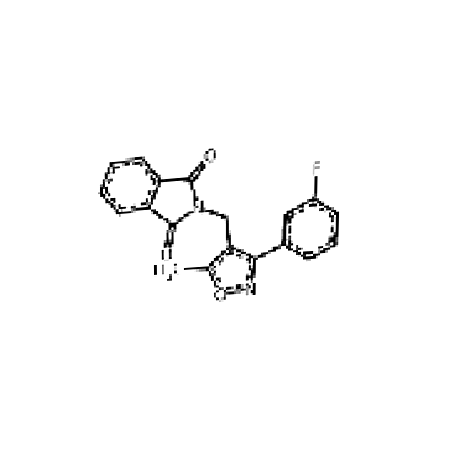 Cc1onc(-c2cccc(F)c2)c1CN1C(=O)c2ccccc2C1=O